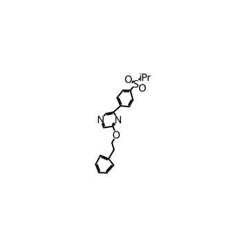 CC(C)S(=O)(=O)c1ccc(-c2cncc(OCCc3ccccc3)n2)cc1